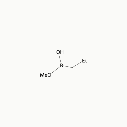 CCCB(O)OC